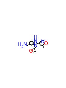 Cc1cc(C2Nc3ccc(CN)cc3N2CC2CCOC2)cn(C)c1=O